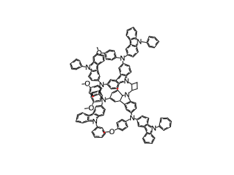 COc1ccc(N(C2=CC3c4cc(N(c5ccc(OC)cc5)c5ccc6c(c5)c5ccccc5n6-c5ccccc5)ccc4N(C4CCC4n4c5ccc(N(c6ccc(OC)cc6)c6ccc7c(c6)c6ccccc6n7-c6ccccc6)cc5c5cc(N(c6ccc(OC)cc6)c6ccc7c(c6)c6ccccc6n7-c6ccccc6)ccc54)C3C=C2)c2ccc3c(c2)c2ccccc2n3-c2ccccc2)cc1